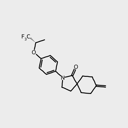 C=C1CCC2(CC1)CCN(c1ccc(O[C@@H](C)C(F)(F)F)cc1)C2=O